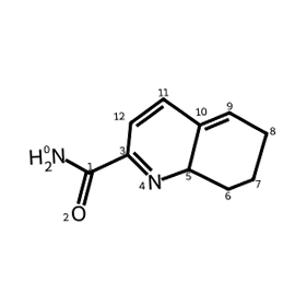 NC(=O)C1=NC2CCCC=C2C=C1